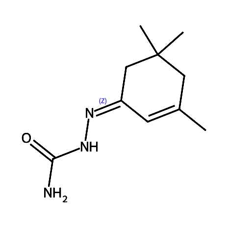 CC1=C/C(=N\NC(N)=O)CC(C)(C)C1